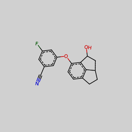 N#Cc1cc(F)cc(Oc2ccc3c4c2C(O)CC4CC3)c1